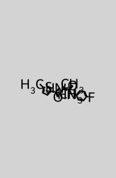 Cc1ccc(C(=O)NC(C)(C)C(=O)Nc2ccc(F)cc2)s1